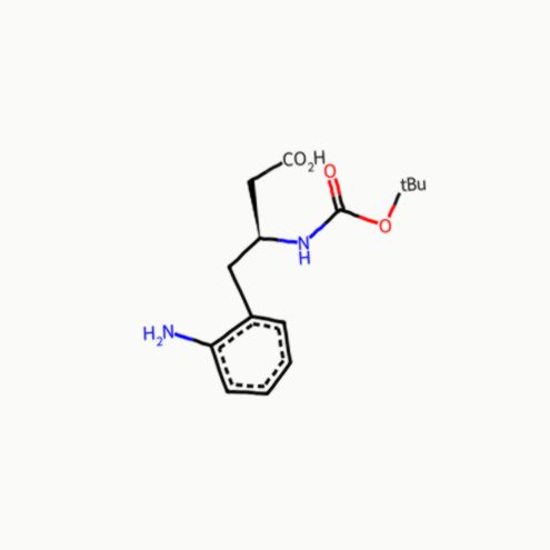 CC(C)(C)OC(=O)N[C@H](CC(=O)O)Cc1ccccc1N